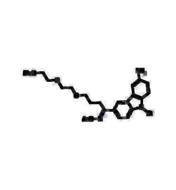 CCn1c2ccc(N)cc2c2cc(/C(CCCOCCOCCOC)=N/OC(C)=O)ccc21